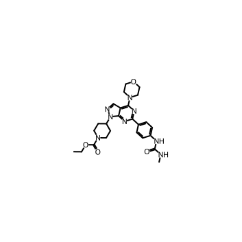 CCOC(=O)N1CCC(n2ncc3c(N4CCOCC4)nc(-c4ccc(NC(=O)NC)cc4)nc32)CC1